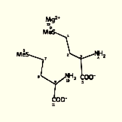 CSCCC(N)C(=O)[O-].CSCCC(N)C(=O)[O-].[Mg+2]